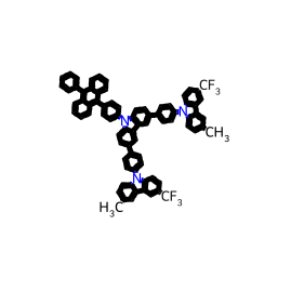 Cc1ccc2c(c1)c1cc(C(F)(F)F)ccc1n2-c1ccc(-c2ccc3c(c2)c2cc(-c4ccc(-n5c6ccc(C)cc6c6cc(C(F)(F)F)ccc65)cc4)ccc2n3-c2ccc(-c3c4ccccc4c(-c4ccccc4)c4ccccc34)cc2)cc1